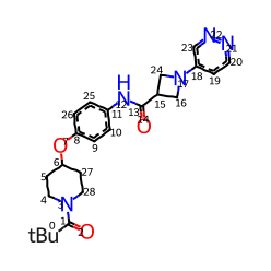 CC(C)(C)C(=O)N1CCC(Oc2ccc(NC(=O)C3CN(c4ccnnc4)C3)cc2)CC1